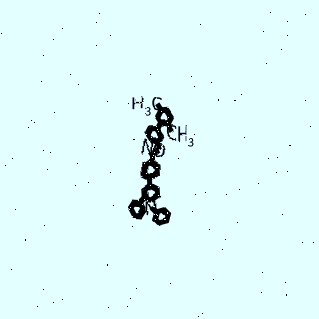 Cc1ccc(C)c(-c2ccc3nc(-c4ccc(-c5ccc6c(c5)c5ccccc5n6-c5ccccc5)cc4)oc3c2)c1